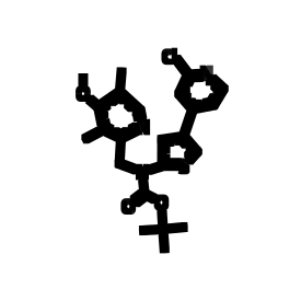 COc1c(C)cnc(CN(C(=O)OC(C)(C)C)c2cc(-c3ccnc(Cl)c3)cs2)c1C